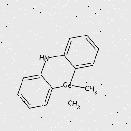 [CH3][Ge]1([CH3])[c]2ccccc2Nc2cccc[c]21